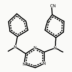 CN(c1ccccc1)c1ncnc(N(C)c2ccc(C#N)cc2)n1